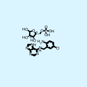 Nc1ccc(Cl)cc1CNc1ncnc2nc[nH]c12.O=P(O)(O)OC[C@H]1OC(O)[C@H](O)[C@@H]1O